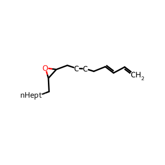 C=CC=CCCCCC1OC1CCCCCCCC